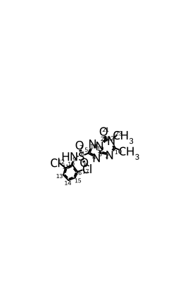 Cc1nc2nc(S(=O)(=O)Nc3c(Cl)cccc3Cl)nn2c(=O)n1C